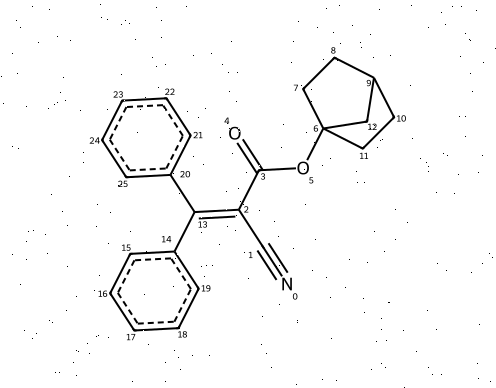 N#CC(C(=O)OC12CCC(CC1)C2)=C(c1ccccc1)c1ccccc1